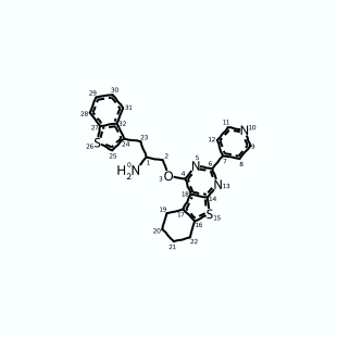 NC(COc1nc(-c2ccncc2)nc2sc3c(c12)CCCC3)Cc1csc2ccccc12